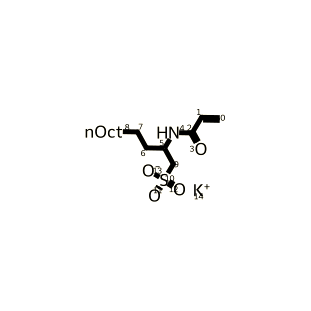 C=CC(=O)NC(CCCCCCCCCC)CS(=O)(=O)[O-].[K+]